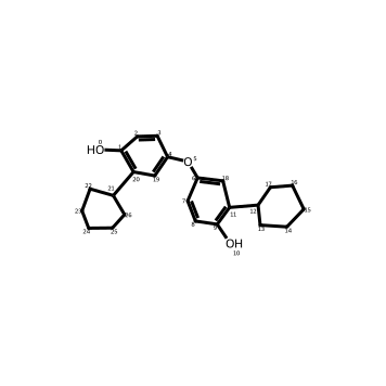 Oc1ccc(Oc2ccc(O)c(C3CCCCC3)c2)cc1C1CCCCC1